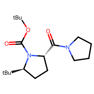 CC(C)(C)OC(=O)N1[C@H](C(C)(C)C)CC[C@H]1C(=O)N1CCCC1